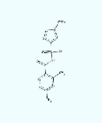 COc1csc(S(=O)(=O)NC(=O)c2ccc(C(F)(F)F)cc2C(F)(F)F)c1